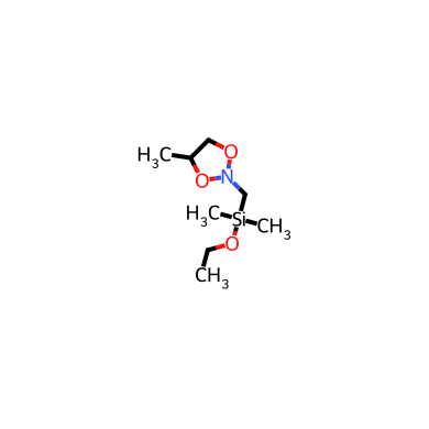 CCO[Si](C)(C)CN1OCC(C)O1